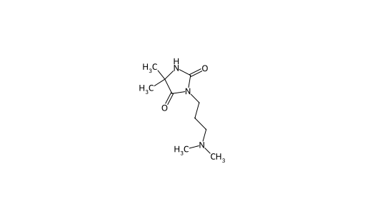 CN(C)CCCN1C(=O)NC(C)(C)C1=O